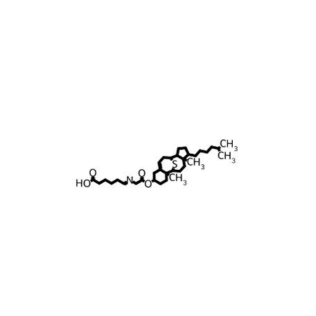 CC(C)CCCCC1CCC2C3CC=C4CC(OC(=O)C/N=C/CCCCC(=O)O)CCC4(C)C(CCC12C)S3